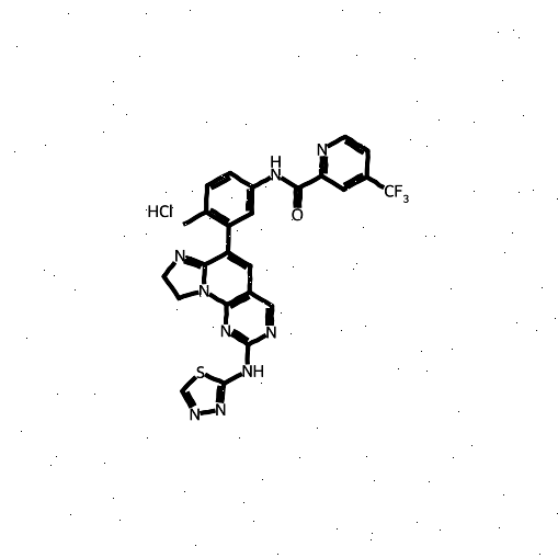 Cc1ccc(NC(=O)c2cc(C(F)(F)F)ccn2)cc1C1=Cc2cnc(Nc3nncs3)nc2N2CCN=C12.Cl